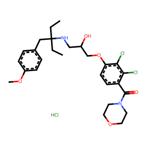 CCC(CC)(Cc1ccc(OC)cc1)NCC(O)COc1ccc(C(=O)N2CCOCC2)c(Cl)c1Cl.Cl